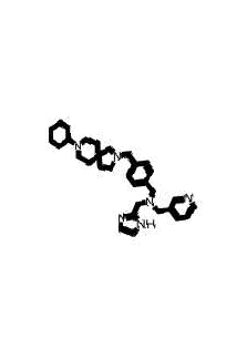 c1cncc(CN(Cc2ccc(CN3CCC4(CCN(C5CCCCC5)CC4)C3)cc2)Cc2ncc[nH]2)c1